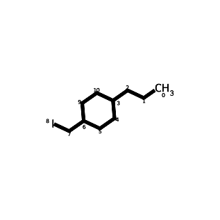 CCCC1CCC(CI)CC1